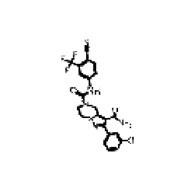 N#Cc1ccc(NC(=O)N2CCn3nc(-c4cccc(Cl)c4)c(C(N)=O)c3C2)cc1C(F)(F)F